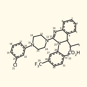 CC(C(=O)O)C1c2ccccc2N=C(N2CCN(c3cccc(Cl)c3)CC2)N1c1cc(C(F)(F)F)ccc1F